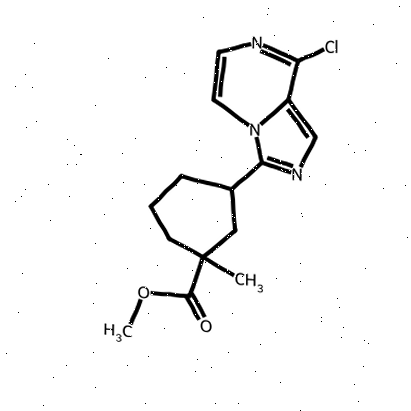 COC(=O)C1(C)CCCC(c2ncc3c(Cl)nccn23)C1